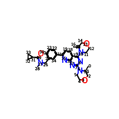 C[C@H]1COCCN1c1nc(N2CCOC[C@@H]2C)c2ccc(-c3cccc(CN(C)C(=O)C4CC4)c3)nc2n1